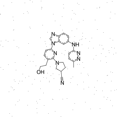 Cc1ccc(Nc2ccc3ncn(-c4ccc(CCO)c(N5CCC(C#N)C5)n4)c3c2)nn1